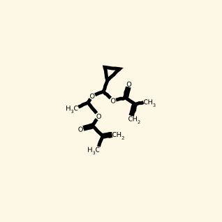 C=C(C)C(=O)OC(C)OC(OC(=O)C(=C)C)C1CC1